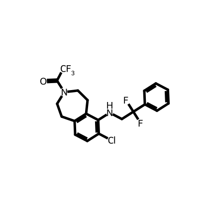 O=C(N1CCc2ccc(Cl)c(NCC(F)(F)c3ccccc3)c2CC1)C(F)(F)F